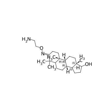 CC1(C)C(=NOCCN)CC[C@@]2(C)C1CC[C@@H]1[C@H]2CC[C@]2(C)C(O)CC[C@@H]12